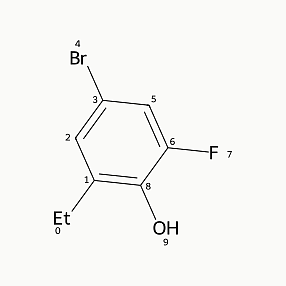 CCc1cc(Br)cc(F)c1O